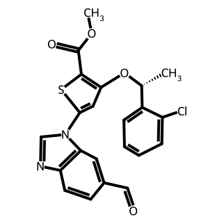 COC(=O)c1sc(-n2cnc3ccc(C=O)cc32)cc1O[C@H](C)c1ccccc1Cl